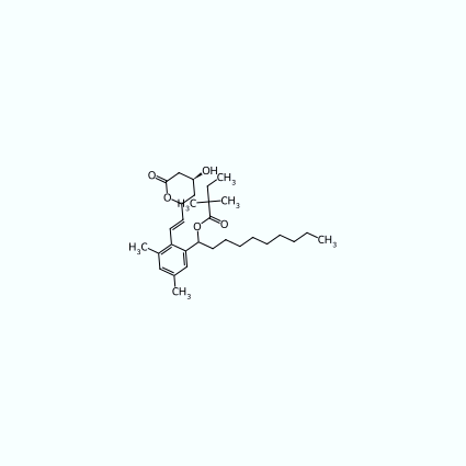 CCCCCCCCCC(OC(=O)C(C)(C)CC)c1cc(C)cc(C)c1/C=C/C1C[C@H](O)CC(=O)O1